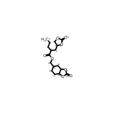 CCCC(CC1COC(=O)O1)C(=O)OCC1CCC2OC(=O)OC2C1